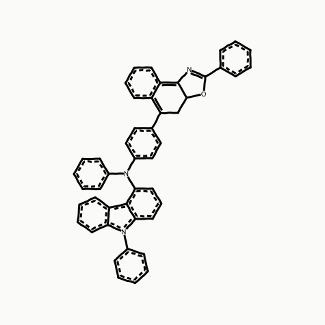 c1ccc(C2=NC3=c4ccccc4=C(c4ccc(N(c5ccccc5)c5cccc6c5c5ccccc5n6-c5ccccc5)cc4)CC3O2)cc1